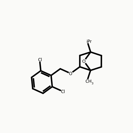 CC(C)C12CCC(C)(O1)C(OCc1c(Cl)cccc1Cl)C2